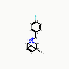 Fc1ccc(CN[C@H]2C3=C[C@H]2CNC3)cc1